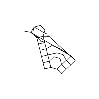 CC12CCC34CC5C6C7CC8C9CC%10C%11C%12C(C1N3)C21CCC4(C)C52CCC%121C%111CCC62C87CCC9%101